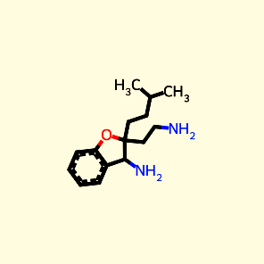 CC(C)CCC1(CCN)Oc2ccccc2C1N